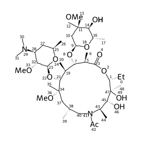 CC[C@H]1OC(=O)[C@H](C)[C@@H](O[C@H]2C[C@@](C)(OC)[C@@H](O)[C@H](C)O2)[C@H](C)[C@@H](O[C@@H]2O[C@H](C)C[C@H](N(C)C)[C@H]2OC)[C@@](C)(OC)C[C@@H](C)CN(C(C)=O)[C@H](C)[C@@H](O)[C@]1(C)O